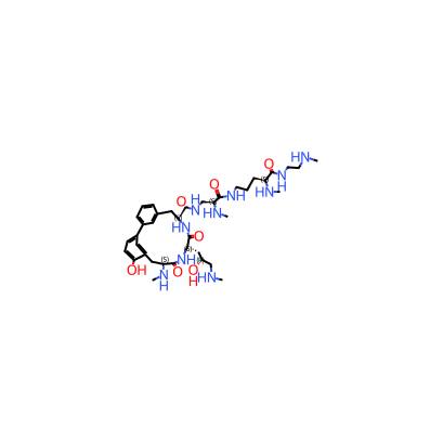 CNCCNC(=O)[C@H](CCCNC(=O)[C@H](CNC(=O)[C@@H]1Cc2cccc(c2)-c2ccc(O)c(c2)C[C@H](NC)C(=O)N[C@@H](C[C@@H](O)CNC)C(=O)N1)NC)NC